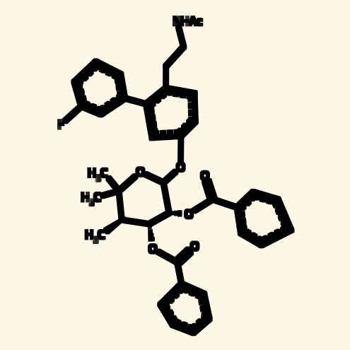 CC(=O)NCCc1ccc(OC2OC(C)(C)[C@H](C)[C@@H](OC(=O)c3ccccc3)[C@H]2OC(=O)c2ccccc2)cc1-c1cccc(F)c1